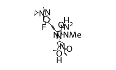 C=CC(=O)N1C[C@@H](n2nc(C#Cc3cc4nc(C)n(C5CC5)c4cc3F)c(C(N)=O)c2NC)C[C@@H]1[C@H](C)O